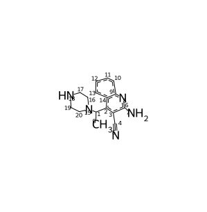 CC(c1c(C#N)c(N)nc2ccccc12)N1CCNCC1